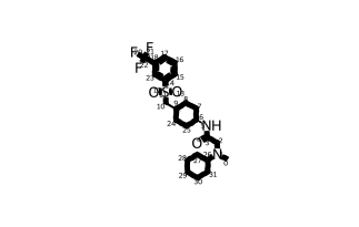 CN(CC(=O)N[C@H]1CC[C@H](CS(=O)(=O)c2cccc(C(F)(F)F)c2)CC1)C1CCCCC1